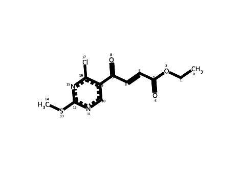 CCOC(=O)C=CC(=O)c1cnc(SC)nc1Cl